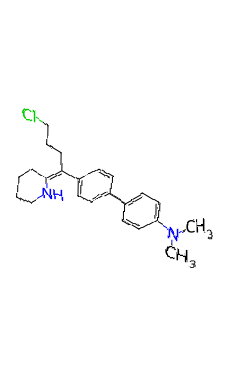 CN(C)c1ccc(-c2ccc(C(CCCCl)=C3CCCCN3)cc2)cc1